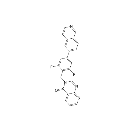 O=c1c2cccnc2ncn1Cc1c(F)cc(-c2ccc3cnccc3c2)cc1F